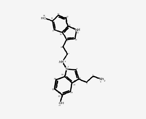 NCCc1cn(NCCc2c[nH]c3ccc(O)cc23)c2ccc(O)cc12